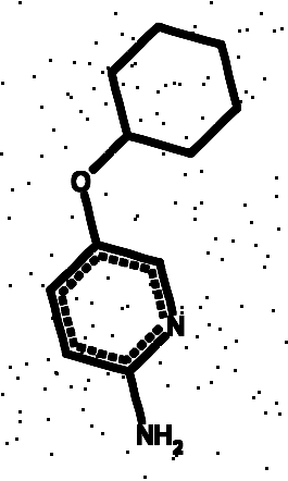 Nc1ccc(OC2CCCCC2)cn1